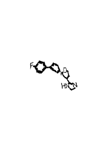 Fc1ccc(-c2ccc([C@H]3CC(C4=NCCN4)CCO3)cc2)cc1